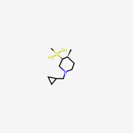 C[C@H]1CCN(CC2CC2)C[C@H]1S(C)(S)S